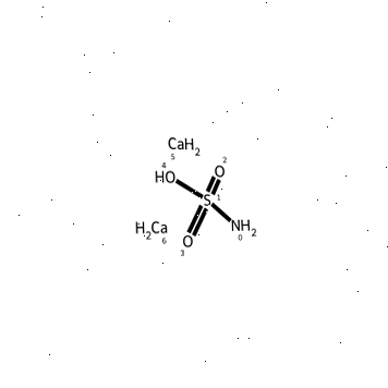 NS(=O)(=O)O.[CaH2].[CaH2]